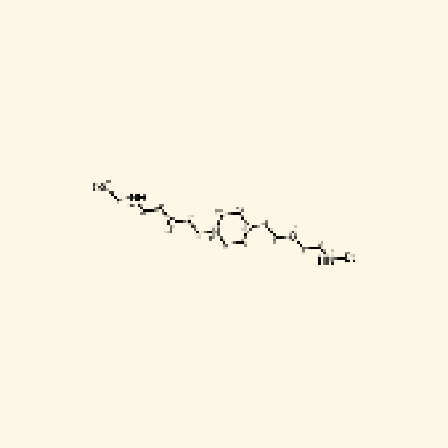 CCNCCOCCN1CCN(CCOCCNCC(C)(C)C)CC1